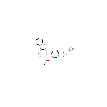 CCCC[C@H]1Cc2c([nH]c3ccccc23)[C@H](c2ccc(S(=O)(=O)NC3CC3)cc2F)N1C(=O)CCl